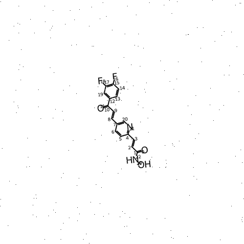 O=C(C=Cc1ccc(C=CC(=O)c2ccc(F)c(F)c2)cn1)NO